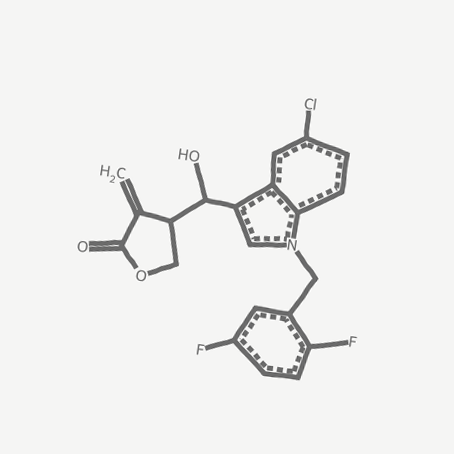 C=C1C(=O)OCC1C(O)c1cn(Cc2cc(F)ccc2F)c2ccc(Cl)cc12